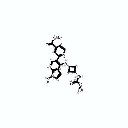 CNC(=O)c1ccnc(-c2cnc3c(ccn3SI)c2N[C@H]2C[C@@H](NC(=O)OC(C)(C)C)C2)c1